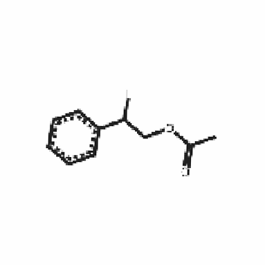 CC(=O)OCC(F)c1ccccc1